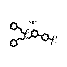 O=C([O-])c1ccc(-c2cccc(CN(CCc3ccccc3)C(=O)CCc3ccccc3)c2)cc1.[Na+]